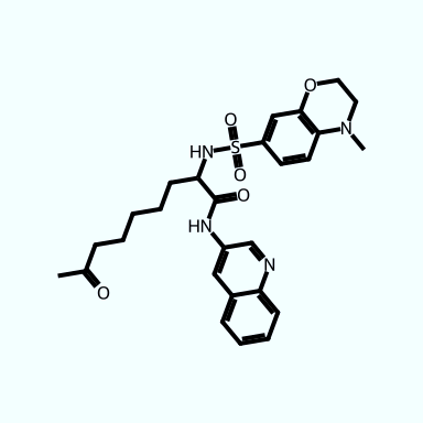 CC(=O)CCCCCC(NS(=O)(=O)c1ccc2c(c1)OCCN2C)C(=O)Nc1cnc2ccccc2c1